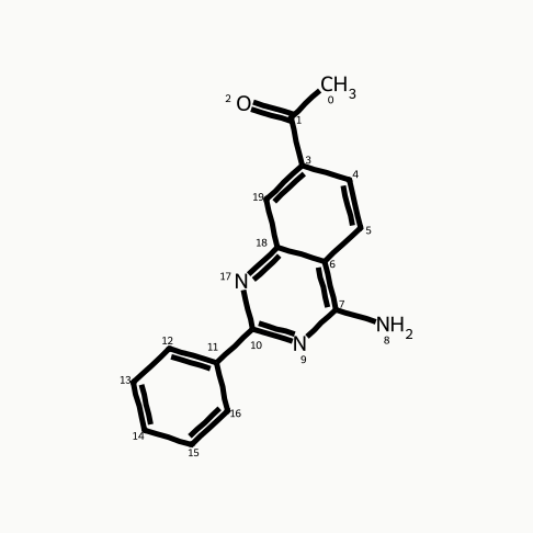 CC(=O)c1ccc2c(N)nc(-c3ccccc3)nc2c1